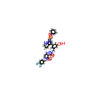 O=C(NCc1cc(O)cc(-c2cn(SOOc3ccccc3)c3ncccc23)c1)c1cccn(Cc2ccc(F)c(F)c2)c1=O